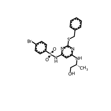 C[C@H](CO)Nc1cc(NS(=O)(=O)c2ccc(Br)cc2)nc(SCc2ccccc2)n1